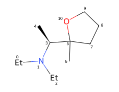 CCN(CC)[C@@H](C)C1(C)CCCO1